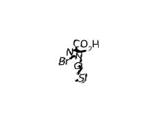 Cc1c(C(=O)O)nc(Br)n1COCC[Si](C)(C)C